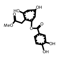 COC(=O)Cc1c(O)cc(O)cc1OC(=O)c1ccc(O)c(O)c1